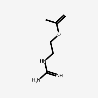 C=C(C)OCCNC(=N)N